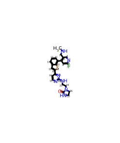 CNCc1cnc(F)cc1-c1cccc2cc(-c3ccnc(NCCN4CCNC4=O)n3)sc12